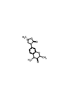 CC1Oc2cc(N3C[C@H](C)OC3=O)ccc2N(C)C1=O